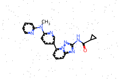 CN(c1ccccn1)c1ccc(-c2cccc3nc(NC(=O)C4CC4)nn23)cn1